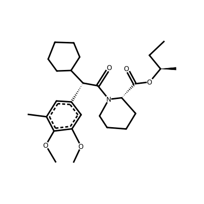 CC[C@@H](C)OC(=O)[C@@H]1CCCCN1C(=O)[C@H](c1cc(C)c(OC)c(OC)c1)C1CCCCC1